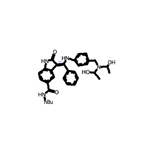 CCCCNC(=O)c1ccc2c(c1)/C(=C(/Nc1ccc(CN(C(C)O)C(C)O)cc1)c1ccccc1)C(=O)N2